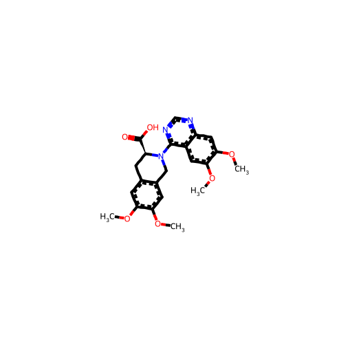 COc1cc2c(cc1OC)CN(c1ncnc3cc(OC)c(OC)cc13)[C@H](C(=O)O)C2